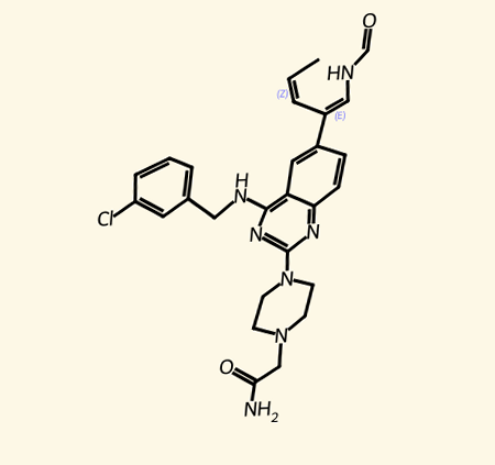 C/C=C\C(=C/NC=O)c1ccc2nc(N3CCN(CC(N)=O)CC3)nc(NCc3cccc(Cl)c3)c2c1